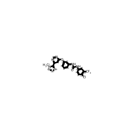 Cn1nnnc1-c1cc(Oc2cccc(NC(=O)Nc3ccc(Cl)c(C(F)(F)F)c3)c2)ncn1